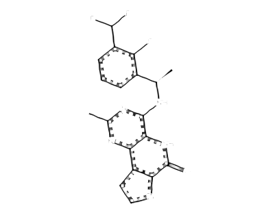 Cc1nc(N[C@H](C)c2cccc(C(F)F)c2F)c2[nH]c(=O)c3occc3c2n1